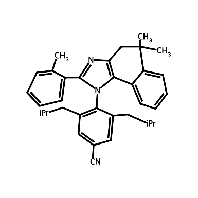 Cc1ccccc1-c1nc2c(n1-c1c(CC(C)C)cc(C#N)cc1CC(C)C)-c1ccccc1C(C)(C)C2